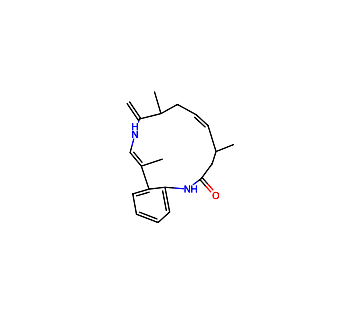 C=C1N/C=C(\C)c2ccccc2NC(=O)CC(C)C=CCC1C